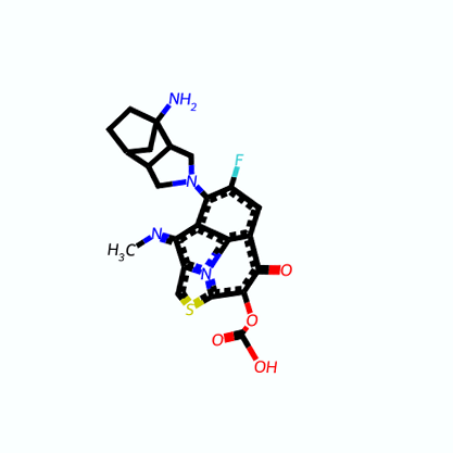 CN=c1c2c(N3CC4C5CCC(N)(C5)C4C3)c(F)cc3c(=O)c(OC(=O)O)c4scc1n4c32